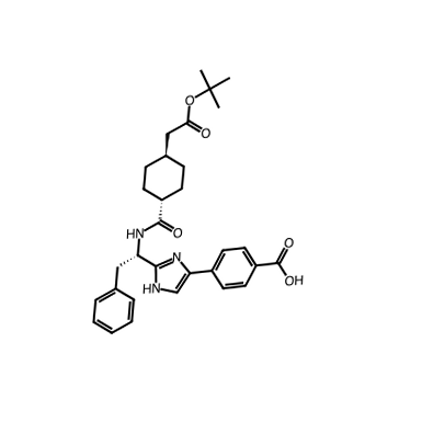 CC(C)(C)OC(=O)C[C@H]1CC[C@H](C(=O)N[C@@H](Cc2ccccc2)c2nc(-c3ccc(C(=O)O)cc3)c[nH]2)CC1